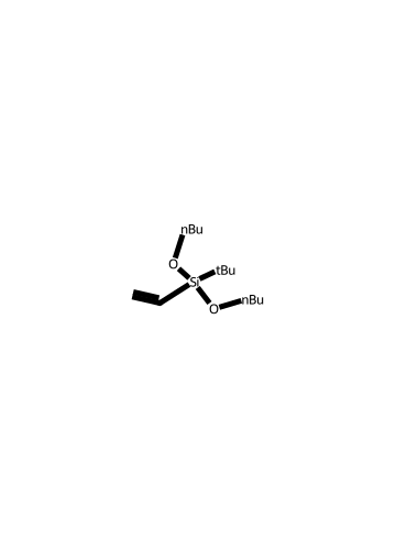 C=C[Si](OCCCC)(OCCCC)C(C)(C)C